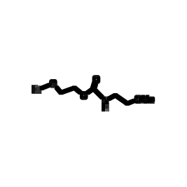 [CH2]COCCOC(=O)NCCOC